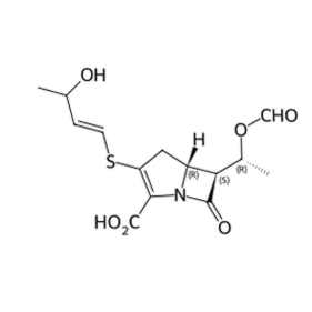 CC(O)C=CSC1=C(C(=O)O)N2C(=O)[C@H]([C@@H](C)OC=O)[C@H]2C1